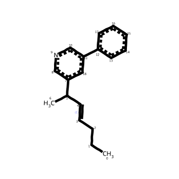 CCC/C=C/C(C)c1cncc(-c2ccccc2)c1